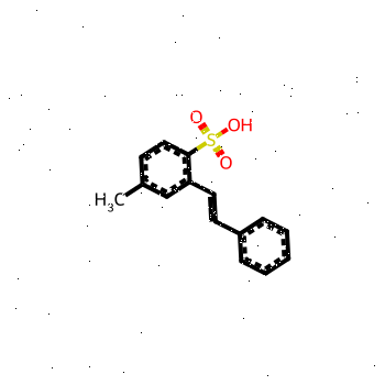 Cc1ccc(S(=O)(=O)O)c(C=Cc2ccccc2)c1